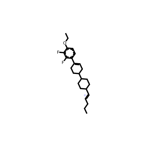 CCC/C=C/C1CCC(C2CC=C(c3ccc(OCC)c(F)c3F)CC2)CC1